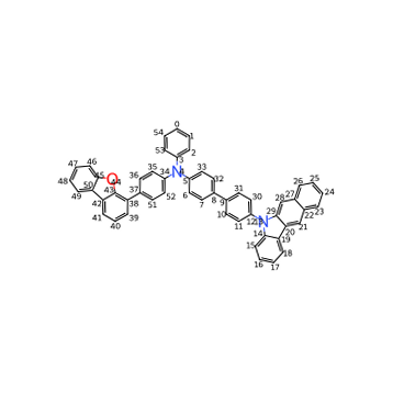 c1ccc(N(c2ccc(-c3ccc(-n4c5ccccc5c5cc6ccccc6cc54)cc3)cc2)c2ccc(-c3cccc4c3oc3ccccc34)cc2)cc1